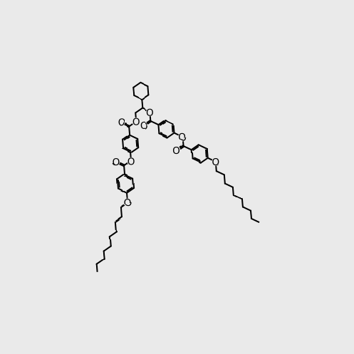 CCCCCCCCCCOc1ccc(C(=O)Oc2ccc(C(=O)OCC(OC(=O)c3ccc(OC(=O)c4ccc(OCCCCCCCCCC)cc4)cc3)C3CCCCC3)cc2)cc1